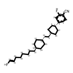 N#Cc1ccc([C@H]2CC[C@H](CC[C@H]3CC[C@H](CCCCCCC=CF)CC3)CC2)cc1F